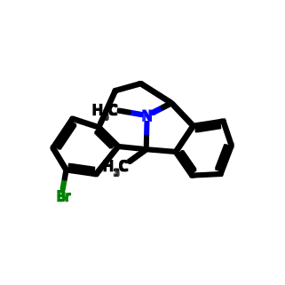 CN1C2CCc3ccc(Br)cc3C1(C)c1ccccc12